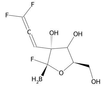 B[C@]1(F)O[C@H](CO)C(O)[C@]1(O)C=C=C(F)F